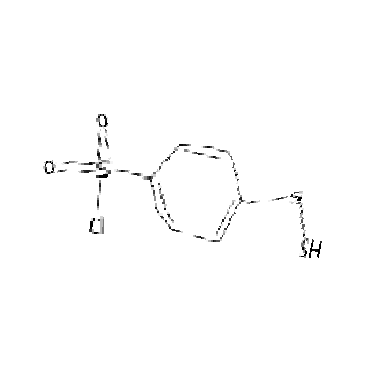 O=S(=O)(Cl)c1ccc(SS)cc1